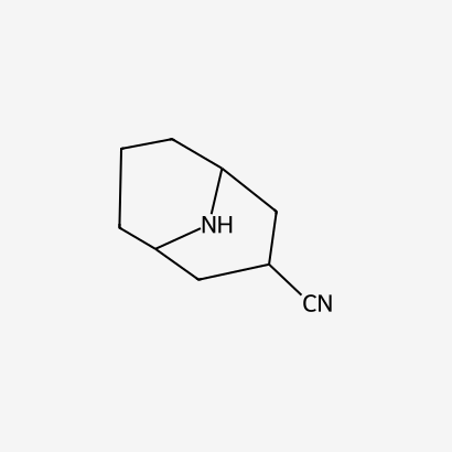 N#CC1CC2CCCC(C1)N2